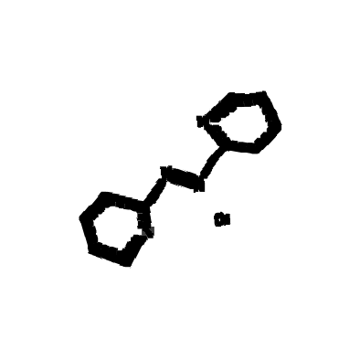 [Os].c1ccc(N=Nc2ccccn2)nc1